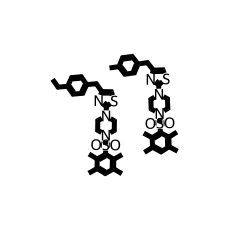 CCc1ccc(Cc2csc(N3CCN(S(=O)(=O)c4c(C)c(C)cc(C)c4C)CC3)n2)cc1.Cc1ccc(Cc2csc(N3CCN(S(=O)(=O)c4c(C)c(C)cc(C)c4C)CC3)n2)cc1